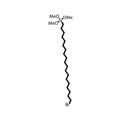 CO[Si](CCCCCCCCCCCCCCCCCCCBr)(OC)OC